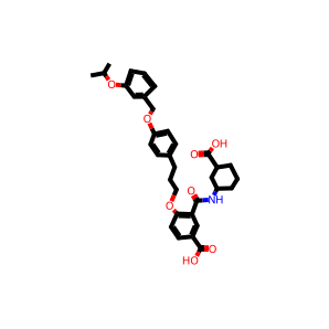 CC(C)Oc1cccc(COc2ccc(CCCOc3ccc(C(=O)O)cc3C(=O)NC3CCCC(C(=O)O)C3)cc2)c1